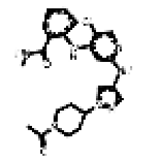 CNC(=O)c1ccccc1Nc1cc(Nc2cnn(C3CCN(C(C)=O)CC3)c2)ncc1Cl